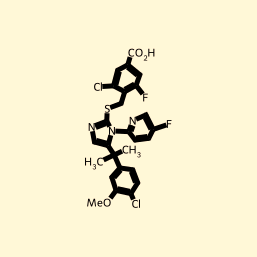 COc1cc(C(C)(C)c2cnc(SCc3c(F)cc(C(=O)O)cc3Cl)n2-c2ccc(F)cn2)ccc1Cl